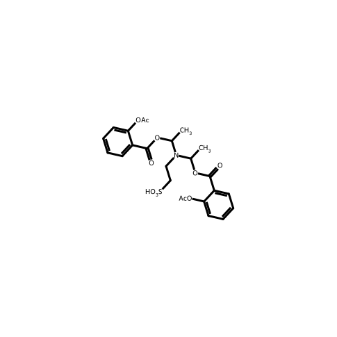 CC(=O)Oc1ccccc1C(=O)OC(C)N(CCS(=O)(=O)O)C(C)OC(=O)c1ccccc1OC(C)=O